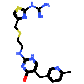 Cc1ccc(Cc2c[nH]c(NCCSCc3csc(NC(=N)N)n3)nc2=O)cn1